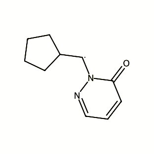 O=c1cccnn1[CH]C1CCCC1